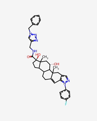 CC12Cc3cnn(-c4ccc(F)cc4)c3C=C1CCC1C2[C@@H](O)CC2(C)C1CC[C@]2(O)C(=O)NCc1cn(Cc2ccccc2)nn1